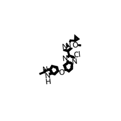 COC1(Cn2cc(-c3nc4cc(Oc5ccc6nc(C)[nH]c6c5)ccc4nc3Cl)cn2)CC1